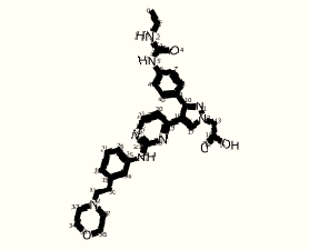 CCNC(=O)Nc1ccc(-c2nn(CC(=O)O)cc2-c2ccnc(Nc3cccc(CCN4CCOCC4)c3)n2)cc1